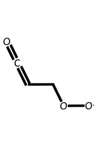 [O]OC[C]=C=O